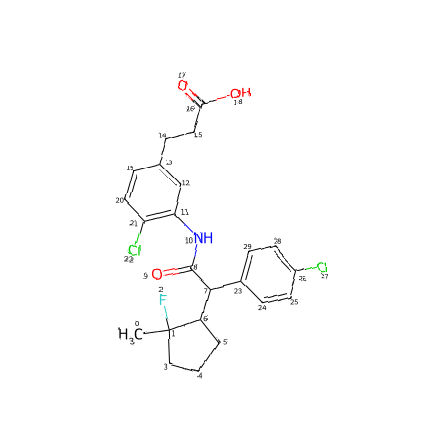 CC1(F)CCCC1C(C(=O)Nc1cc(CCC(=O)O)ccc1Cl)c1ccc(Cl)cc1